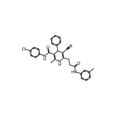 CC1=C(C(=O)Nc2ccc(Cl)cc2)C(c2ccccc2)C(C#N)=C(SCC(=O)Nc2cccc(C)c2)N1